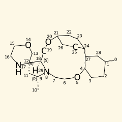 CC1CCC2OCCN3[C@H](C)C[C@]4(COCCN4)[C@H]3COC3CCC(CC3)C2C1